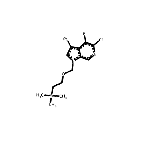 CC(C)c1cn(COCC[Si](C)(C)C)c2cnc(Cl)c(F)c12